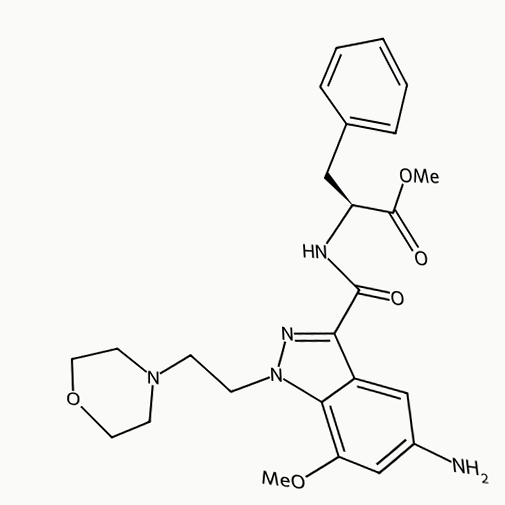 COC(=O)[C@H](Cc1ccccc1)NC(=O)c1nn(CCN2CCOCC2)c2c(OC)cc(N)cc12